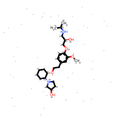 COc1cc(CCO[C@H]2CCCC[C@H]2N2CCC(O)C2)ccc1OC[C@H](O)CNC(C)C